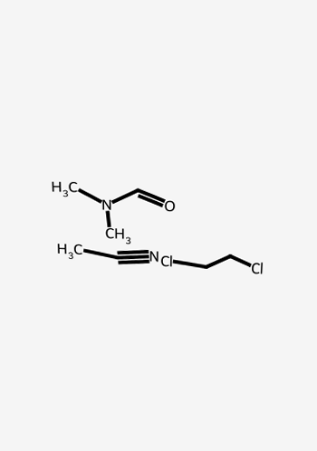 CC#N.CN(C)C=O.ClCCCl